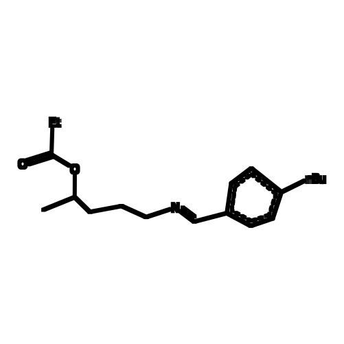 CCCCc1ccc(C=NCCCC(C)OC(=O)CC)cc1